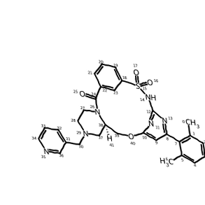 Cc1cccc(C)c1-c1cc2nc(n1)NS(=O)(=O)c1cccc(c1)C(=O)N1CCN(Cc3cccnc3)C[C@@H]1CO2